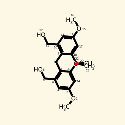 COc1cc(CO)c(Cc2c(CO)cc(OC)cc2OC)c(OC)c1